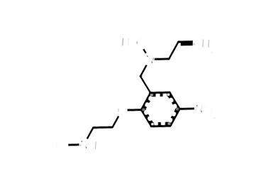 C=CCN(C)Cc1cc([N+](=O)[O-])ccc1OCCNCC